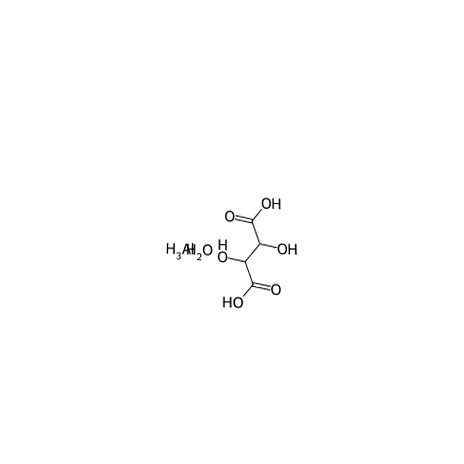 O.O=C(O)C(O)C(O)C(=O)O.[AlH3]